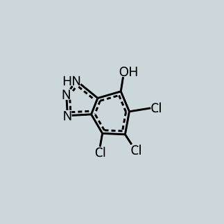 Oc1c(Cl)c(Cl)c(Cl)c2nn[nH]c12